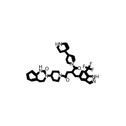 O=C(C(CC(=O)N1CCC(N2CCc3ccccc3NC2=O)CC1)Cc1cc(C(F)(F)F)c2[nH]ncc2c1)N1C#CC(C2C#CNCC2)CC1